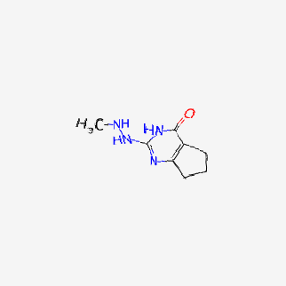 CNNc1nc2c(c(=O)[nH]1)CCC2